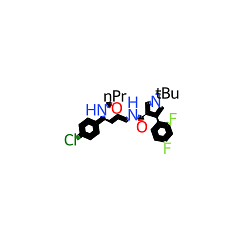 CCCC(=O)N[C@@H](CCCNC(=O)[C@@H]1CN(C(C)(C)C)C[C@H]1c1ccc(F)cc1F)c1ccc(Cl)cc1